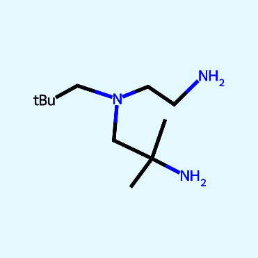 CC(C)(C)CN(CCN)CC(C)(C)N